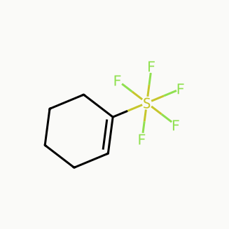 FS(F)(F)(F)(F)C1=CCCCC1